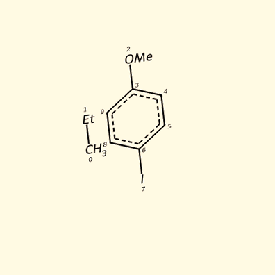 CCC.COc1ccc(I)cc1